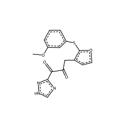 COc1cccc(Sc2occc2CC(=O)C(=O)c2nc[nH]n2)c1